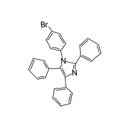 Brc1ccc(-n2c(-c3ccccc3)nc(-c3ccccc3)c2-c2ccccc2)cc1